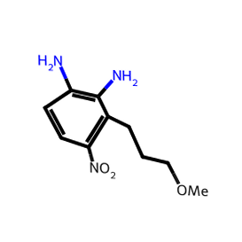 COCCCc1c([N+](=O)[O-])ccc(N)c1N